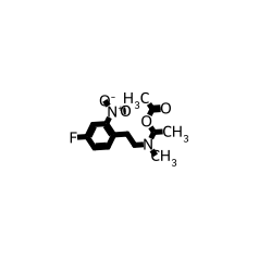 CC(=O)OC(C)N(C)CCc1ccc(F)cc1[N+](=O)[O-]